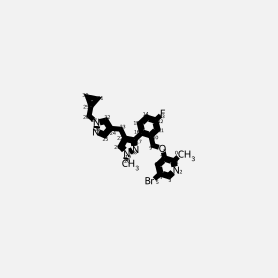 Cc1ncc(Br)cc1OCc1cc(F)ccc1-c1nn(C)cc1Cc1cnn(CC2CC2)c1